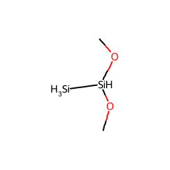 CO[SiH]([SiH3])OC